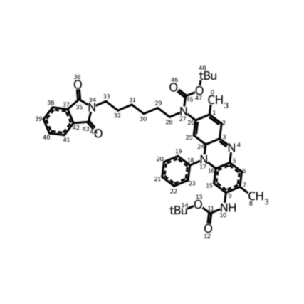 CC1=CC2=Nc3cc(C)c(NC(=O)OC(C)(C)C)cc3N(c3ccccc3)C2C=C1N(CCCCCCN1C(=O)c2ccccc2C1=O)C(=O)OC(C)(C)C